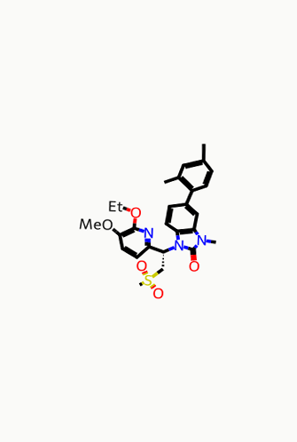 CCOc1nc([C@@H](CS(C)(=O)=O)n2c(=O)n(C)c3cc(-c4ccc(C)cc4C)ccc32)ccc1OC